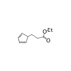 CCOC(=O)CCC1C=CC=C1